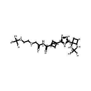 O=C(COCCOC(F)(F)F)NC(=O)C12CC(c3nnc(C4(OC(F)(F)F)CCC4)o3)(C1)C2